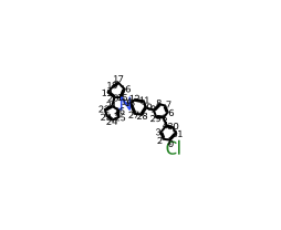 Clc1ccc(-c2cccc(-c3ccc(-n4c5ccccc5c5ccccc54)cc3)c2)cc1